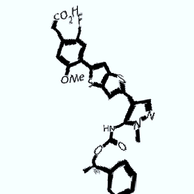 COc1cc(CC(=O)O)c(F)cc1-c1cc2sc(-c3cnn(C)c3NC(=O)O[C@H](C)c3ccccc3)cc2s1